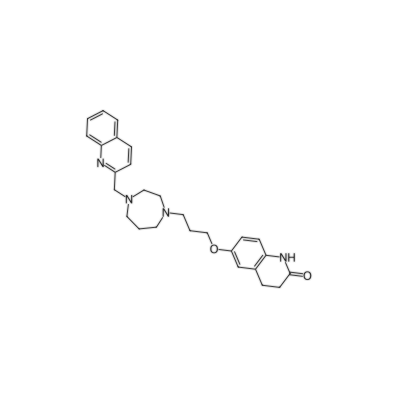 O=C1CCc2cc(OCCCN3CCCN(Cc4ccc5ccccc5n4)CC3)ccc2N1